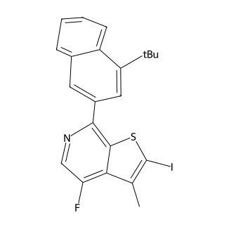 Cc1c(I)sc2c(-c3cc(C(C)(C)C)c4ccccc4c3)ncc(F)c12